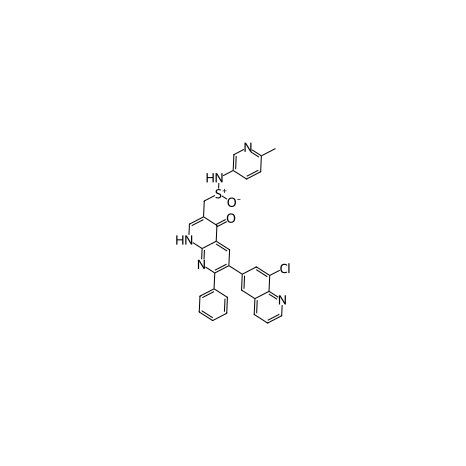 Cc1ccc(N[S+]([O-])Cc2c[nH]c3nc(-c4ccccc4)c(-c4cc(Cl)c5ncccc5c4)cc3c2=O)cn1